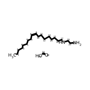 CCCCCCCC/C=C\CCCCCCCCNCCN.O=CO